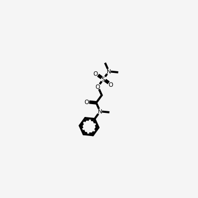 CN(C(=O)COS(=O)(=O)N(C)C)c1ccccc1